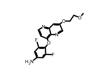 COCCOc1cnc2c(Oc3c(F)cc(N)cc3F)ccnc2c1